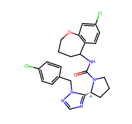 O=C(NC1CCCOc2cc(Cl)ccc21)N1CCC[C@@H]1c1ncnn1Cc1ccc(Cl)cc1